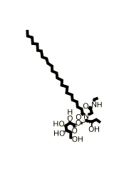 CCCCCCCCCCCCCCCCCCCCCCCC(=O)N(CC(=O)NCC)[C@@H](CO[C@H]1OC(CO)[C@H](O)C(O)C1O)[C@H](O)CC